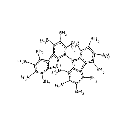 Bc1c(B)c(B)c2c([nH]c3c(-n4c5c(B)c(B)c(B)c(B)c5c5c(B)c(B)c(B)c(B)c54)c(B)c(B)c(B)c32)c1B